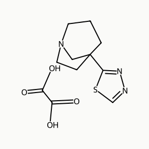 O=C(O)C(=O)O.c1nnc(C23CCCN(CC2)C3)s1